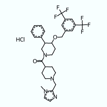 Cl.Cn1ccnc1CN1CCC(C(=O)N2CCC(OCc3cc(C(F)(F)F)cc(C(F)(F)F)c3)C(c3ccccc3)C2)CC1